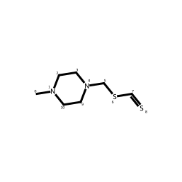 CN1CCN(CSC=S)CC1